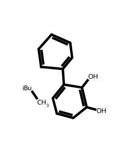 CCC(C)C.Oc1cccc(-c2ccccc2)c1O